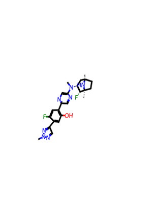 CN(c1cnc(-c2cc(F)c(-c3cnn(C)n3)cc2O)cn1)[C@@H]1C[C@@]2(C)CC[C@](C)(N2)[C@@H]1F